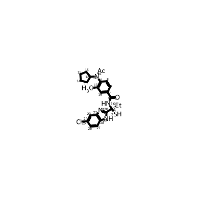 CC[C@@](S)(NC(=O)c1ccc(N(C(C)=O)C2CCCC2)c(C)c1)c1nc2cc(Cl)ccc2[nH]1